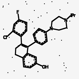 CC(C)N1CCN(c2ccc(C3=C(c4ccc(F)cc4Cl)CCc4ccc(O)cc43)cc2)CC1